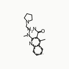 Cc1c(C(N)=O)c(N(C)CCN2CCCC2)nc2cc[c]cc12